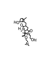 C=C(OCCN(C)C)C(C)(C)CC(CC(CC1C(C)C2CC(O)C1C2)C(N)=O)C(=O)NCCO